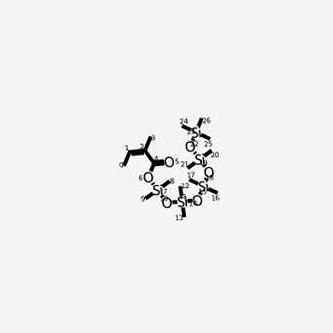 CC=C(C)C(=O)O[Si](C)(C)O[Si](C)(C)O[Si](C)(C)O[Si](C)(C)O[Si](C)(C)C